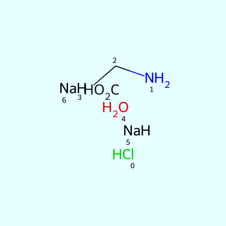 Cl.NCC(=O)O.O.[NaH].[NaH]